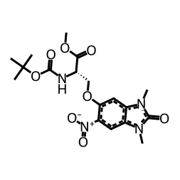 COC(=O)[C@H](COc1cc2c(cc1[N+](=O)[O-])n(C)c(=O)n2C)NC(=O)OC(C)(C)C